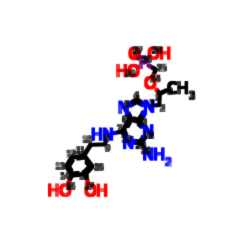 CC(Cn1cnc2c(NCCc3ccc(O)c(O)c3)nc(N)nc21)OCP(=O)(O)O